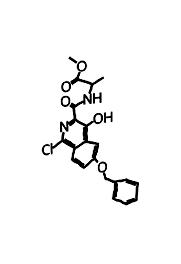 COC(=O)C(C)NC(=O)c1nc(Cl)c2ccc(OCc3ccccc3)cc2c1O